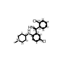 CN1CCC(Nc2ccc(Cl)cc2C(=N)c2ccccc2Cl)CC1